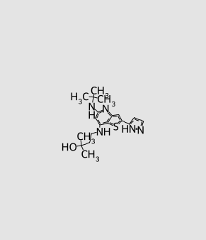 CC(C)(O)CCNc1cc(NC(C)(C)C)nc2cc(-c3ccn[nH]3)sc12